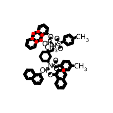 Cc1ccc(S(=O)(=O)N(CC2(C)CCCC(N(P(Oc3cccc4ccccc34)Oc3cccc4ccccc34)S(=O)(=O)c3ccc(C)cc3)C2)P(Oc2cccc3ccccc23)Oc2cccc3ccccc23)cc1